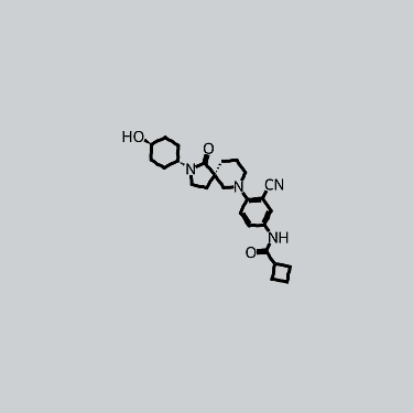 N#Cc1cc(NC(=O)C2CCC2)ccc1N1CCC[C@@]2(CCN([C@H]3CC[C@H](O)CC3)C2=O)C1